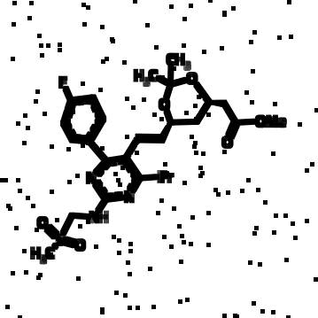 COC(=O)C[C@H]1C[C@@H](/C=C/c2c(-c3ccc(F)cc3)nc(NCS(C)(=O)=O)nc2C(C)C)OC(C)(C)O1